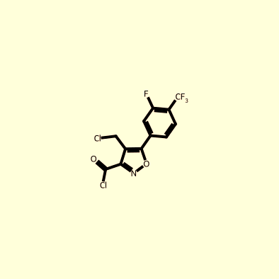 O=C(Cl)c1noc(-c2ccc(C(F)(F)F)c(F)c2)c1CCl